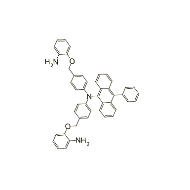 Nc1ccccc1OCc1ccc(N(c2ccc(COc3ccccc3N)cc2)c2c3ccccc3c(-c3ccccc3)c3ccccc23)cc1